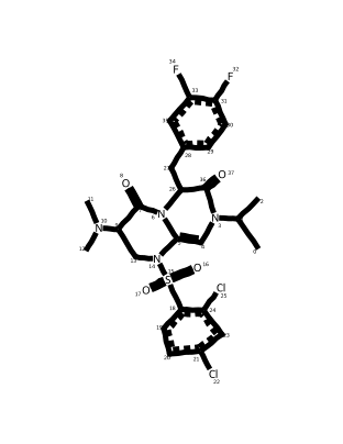 CC(C)N1C=C2N(C(=O)C(N(C)C)CN2S(=O)(=O)c2ccc(Cl)cc2Cl)C(Cc2ccc(F)c(F)c2)C1=O